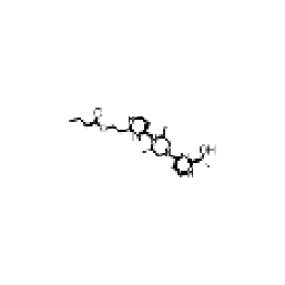 CCCC(=O)OCCc1nccc(N2[C@H](C)CN(c3ccnc([C@@H](C)O)n3)C[C@@H]2C)n1